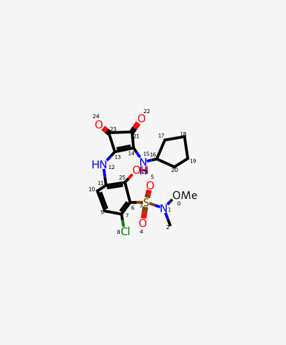 CON(C)S(=O)(=O)c1c(Cl)ccc(Nc2c(NC3CCCC3)c(=O)c2=O)c1O